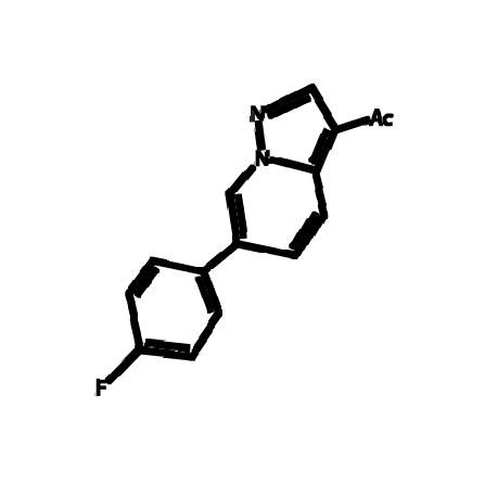 CC(=O)c1cnn2cc(-c3ccc(F)cc3)ccc12